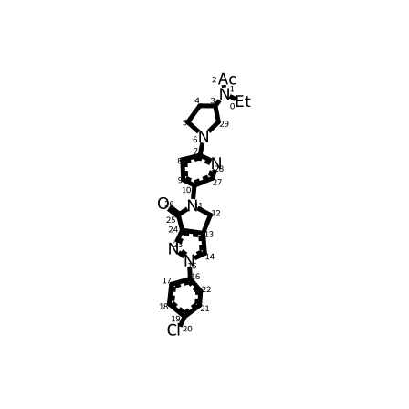 CCN(C(C)=O)C1CCN(c2ccc(N3Cc4cn(-c5ccc(Cl)cc5)nc4C3=O)cn2)C1